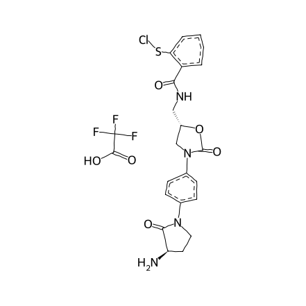 N[C@@H]1CCN(c2ccc(N3C[C@H](CNC(=O)c4ccccc4SCl)OC3=O)cc2)C1=O.O=C(O)C(F)(F)F